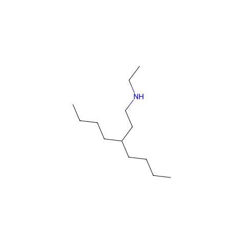 CCCCC(CCCC)CCNCC